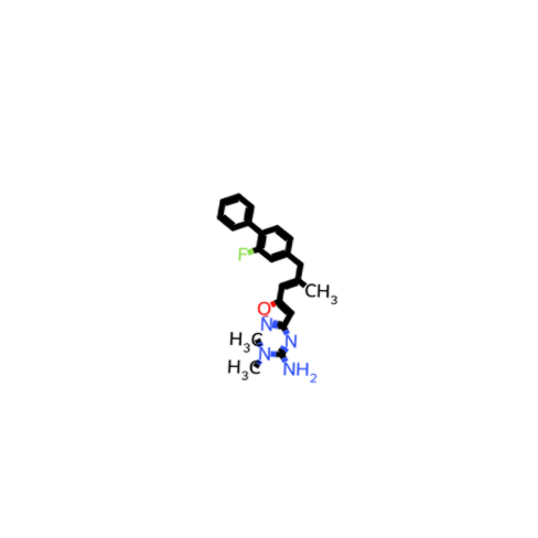 CC(=Cc1cc(N=C(N)N(C)C)no1)Cc1ccc(-c2ccccc2)c(F)c1